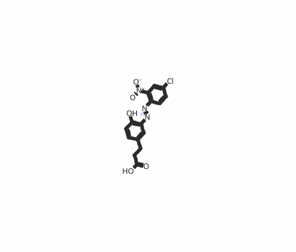 O=C(O)CCc1ccc(O)c(/N=N/c2ccc(Cl)cc2[N+](=O)[O-])c1